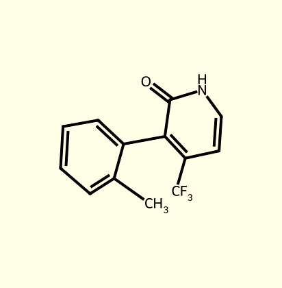 Cc1ccccc1-c1c(C(F)(F)F)cc[nH]c1=O